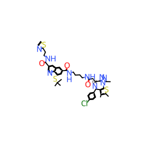 Cc1sc2c(c1C)C(c1ccc(Cl)cc1)=N[C@@H](CC(=O)NCCCCNC(=O)c1cc(SC(C)(C)C)c3ncc(C(=O)NCCc4nccs4)cc3c1)c1nnc(C)n1-2